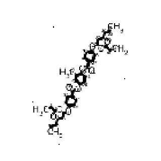 C=CC(=O)OC(CCCCC)Oc1ccc(C(=O)Oc2ccc(OC(=O)c3ccc(OC(CCCCC)OC(=O)C=C)cc3)c(C)c2)cc1